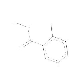 Cc1ccccc1C(=O)OCl